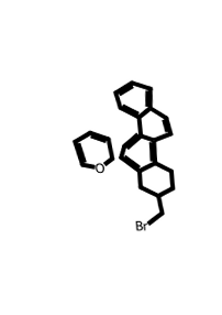 BrCC1CCc2c(ccc3c2ccc2ccccc23)C1.C1=CCOC=C1